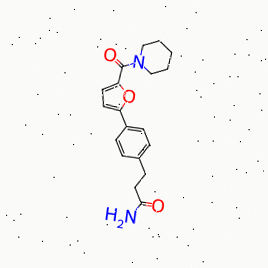 NC(=O)CCc1ccc(-c2ccc(C(=O)N3CCCCC3)o2)cc1